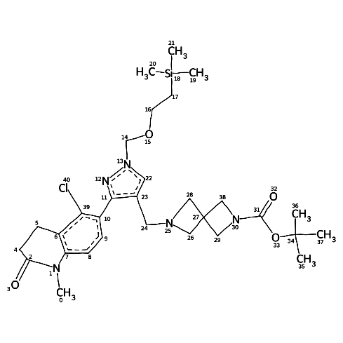 CN1C(=O)CCc2c1ccc(-c1nn(COCC[Si](C)(C)C)cc1CN1CC3(C1)CN(C(=O)OC(C)(C)C)C3)c2Cl